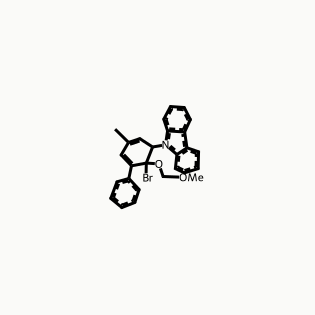 COCOC1(Br)C(c2ccccc2)=CC(C)=CC1n1c2ccccc2c2ccccc21